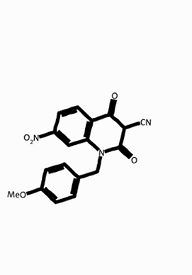 COc1ccc(CN2C(=O)C(C#N)C(=O)c3ccc([N+](=O)[O-])cc32)cc1